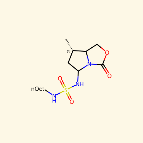 CCCCCCCCNS(=O)(=O)NC1C[C@H](C)C2COC(=O)N12